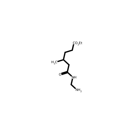 CCOC(=O)CCC(C)CC(=O)NCN